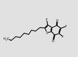 CCCCCCCCCc1sc2c(c1F)C(=O)C(F)=C(F)C2=O